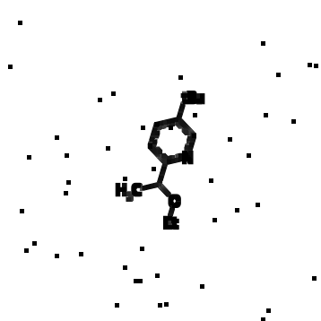 CCOC(C)c1ccc(C(C)(C)C)cn1